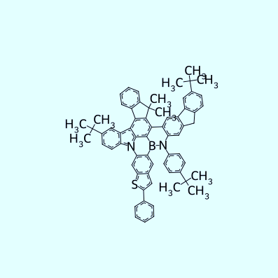 CC(C)(C)c1ccc(N2B3c4cc5cc(-c6ccccc6)sc5cc4-n4c5ccc(C(C)(C)C)cc5c5c6c(c(c3c54)-c3cc4c(cc32)Cc2ccc(C(C)(C)C)cc2-4)C(C)(C)c2ccccc2-6)cc1